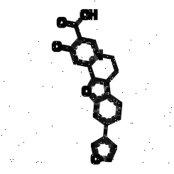 O=C(O)c1cn2c(cc1=O)-c1oc3cc(-c4ccoc4)ccc3c1CC2